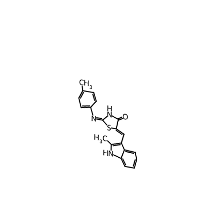 Cc1ccc(N=C2NC(=O)C(=Cc3c(C)[nH]c4ccccc34)S2)cc1